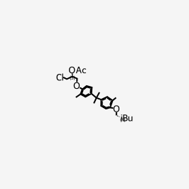 CC[C@@H](C)COc1ccc(C(C)(C)c2ccc(OC[C@@H](CCl)OC(C)=O)c(C)c2)cc1C